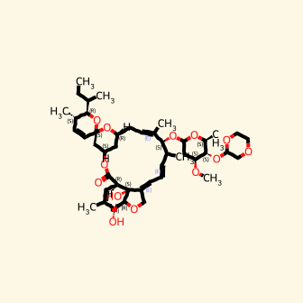 CCC(C)[C@H]1O[C@]2(C=C[C@@H]1C)C[C@@H]1C[C@@H](C/C=C(\C)[C@@H](OC3C[C@H](OC)[C@@H](OC4COCCO4)[C@H](C)O3)C(C)/C=C/C=C3\CO[C@@H]4[C@H](O)C(C)=C[C@@H](C(=O)O1)[C@]34O)O2